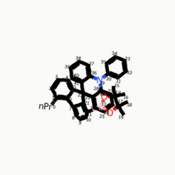 CCCc1cccc2c1-c1cccc(B3OC(C)(C)C(C)(C)O3)c1C21c2ccccc2N(c2ccccc2)c2ccccc21